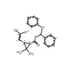 CC1(C)[C@H](C(=O)OC(Oc2ccccc2)c2ccccc2)[C@@H]1C=C(Cl)Cl